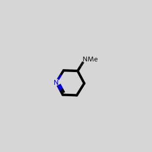 CNC1CCC=NC1